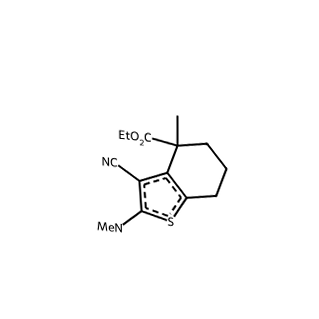 CCOC(=O)C1(C)CCCc2sc(NC)c(C#N)c21